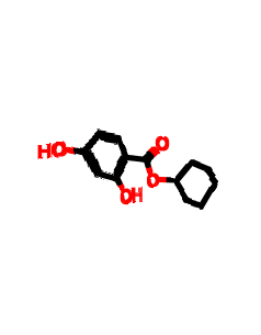 O=C(OC1CCCCC1)c1ccc(O)cc1O